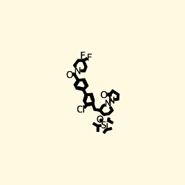 CC(C)[Si](OC1CCN(N2CCCC2=O)CC1Cc1ccc(-c2ccc(C(=O)N3CCC(F)(F)CC3)cc2)cc1Cl)(C(C)C)C(C)C